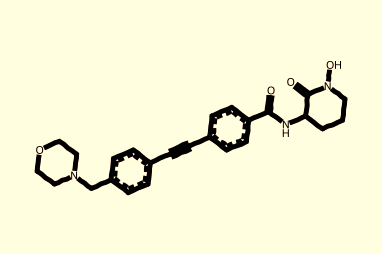 O=C(NC1CCCN(O)C1=O)c1ccc(C#Cc2ccc(CN3CCOCC3)cc2)cc1